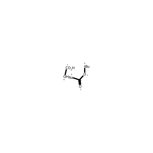 CC(C)(C)O[C](=O)[Na].O=C(O)O